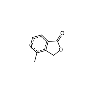 Cc1nccc2c1COC2=O